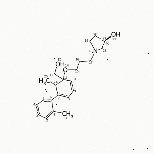 Cc1ccccc1C1=CC=CC(CO)(OCCCN2CC[C@@H](O)C2)C1C